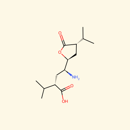 CC(C)[C@H](C[C@H](N)[C@@H]1C[C@@H](C(C)C)C(=O)O1)C(=O)O